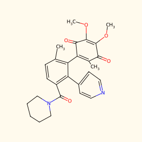 COC1=C(OC)C(=O)C(c2c(C)ccc(C(=O)N3CCCCC3)c2-c2ccncc2)=C(C)C1=O